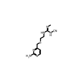 CN=C(NC#N)NCCSCc1ccnc(N)n1